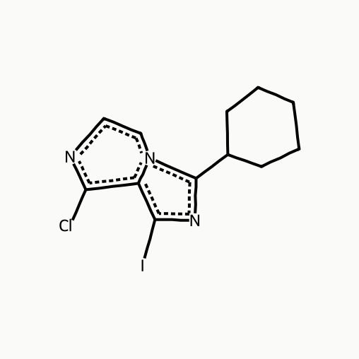 Clc1nccn2c(C3CCCCC3)nc(I)c12